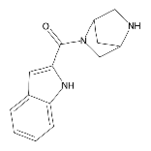 O=C(c1cc2ccccc2[nH]1)N1CC2CC1CN2